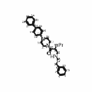 CCC[C@@H](CNOCc1ccccc1)C(=O)N1CCN(c2ccc(-c3ccccc3)cc2)CC1